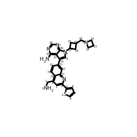 NCc1cc(-c2cccs2)nc2cc(-c3cn(C4CC(CN5CCC5)C4)c4ncnc(N)c34)ccc12